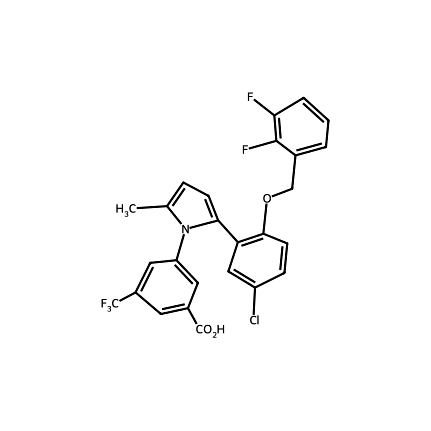 Cc1ccc(-c2cc(Cl)ccc2OCc2cccc(F)c2F)n1-c1cc(C(=O)O)cc(C(F)(F)F)c1